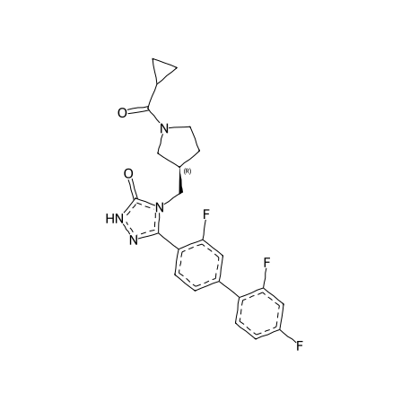 O=C(C1CC1)N1CC[C@@H](Cn2c(-c3ccc(-c4ccc(F)cc4F)cc3F)n[nH]c2=O)C1